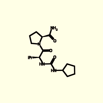 CC(C)[C@H](NC(=O)NC1CCCC1)C(=O)N1CCC[C@H]1C(N)=O